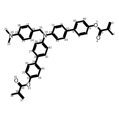 C=C(C)C(=O)Oc1ccc(-c2ccc(N(Cc3ccc(N(C)C)cc3)c3ccc(-c4ccc(OC(=O)C(=C)C)cc4)cc3)cc2)cc1